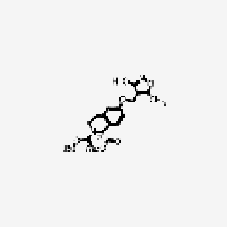 COC(=O)[C@H]1c2ccc(OCc3c(C)noc3C)cc2CCN1C(=O)OC(C)(C)C